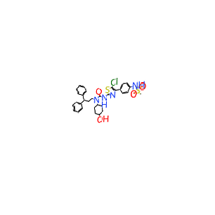 CS(=O)(=O)Nc1ccc(-c2nc(NC(=O)N(CCC(c3ccccc3)c3ccccc3)[C@H]3CC[C@H](O)CC3)sc2Cl)cc1